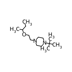 CCC(C)OCCN1CCN(C(C)(C)C)CC1